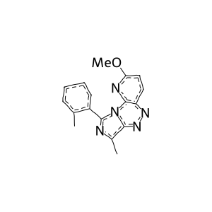 COc1ccc2nnc3c(C)nc(-c4ccccc4C)n3c2n1